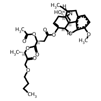 CCCCOCC(=O)[C@H](C)OC(=O)[C@H](CC(=O)OC1=CC[C@@]2(O)[C@H]3Cc4ccc(OC)c5c4[C@@]2(CCN3C)[C@H]1O5)OC(C)=O